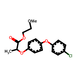 COCCOC(=O)C(C)Oc1ccc(Oc2ccc(Cl)cc2)cc1